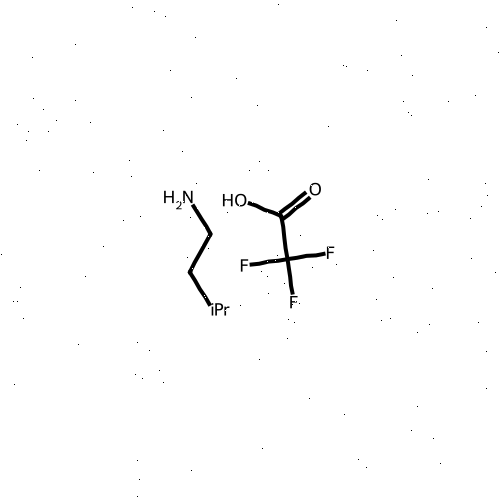 CC(C)CCN.O=C(O)C(F)(F)F